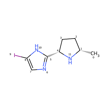 C[C@H]1CC[C@@H](c2ncc(I)[nH]2)N1